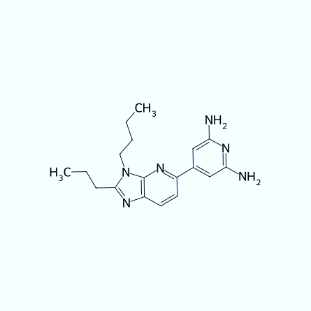 CCCCn1c(CCC)nc2ccc(-c3cc(N)nc(N)c3)nc21